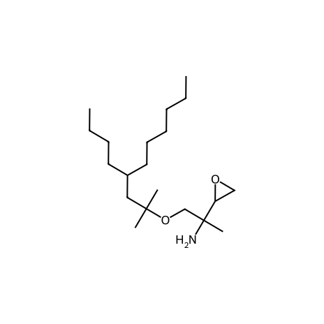 CCCCCCC(CCCC)CC(C)(C)OCC(C)(N)C1CO1